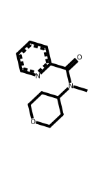 CN(C(=O)c1ccccn1)C1CCOCC1